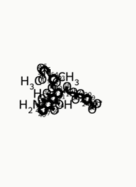 CO[C@@H]1COCCN1[C@H]1CC(O[C@H]2C[C@H](C(=O)COC(=O)Oc3ccc([N+](=O)[O-])cc3)Cc3c(O)c4c(c(O)c32)C(=O)c2c(N)cccc2C4=O)O[C@@H](C)C1